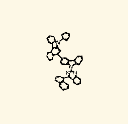 c1ccc(-n2c3ccccc3c3c4ccccc4c(-c4ccc5c(c4)c4ccccc4n5-c4nc(-c5cccc6ccccc56)c5ccccc5n4)cc32)cc1